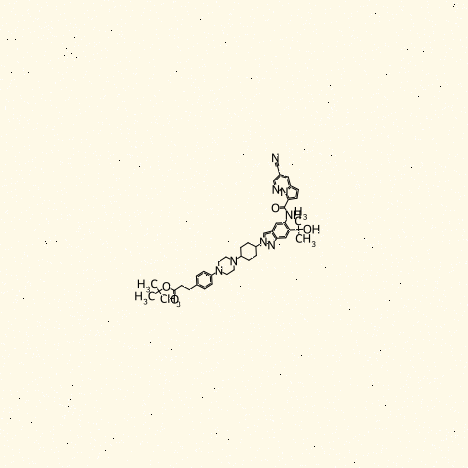 CC(C)(C)OC(=O)CCc1ccc(N2CCN(C3CCC(n4cc5cc(NC(=O)c6ccc7cc(C#N)cnn67)c(C(C)(C)O)cc5n4)CC3)CC2)cc1